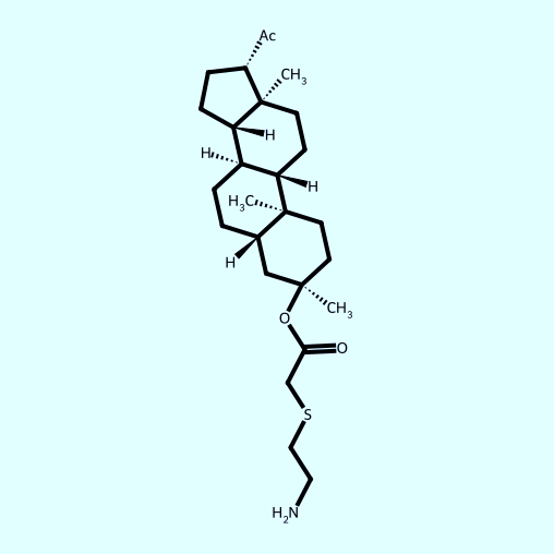 CC(=O)[C@H]1CC[C@H]2[C@@H]3CC[C@H]4C[C@](C)(OC(=O)CSCCN)CC[C@]4(C)[C@H]3CC[C@]12C